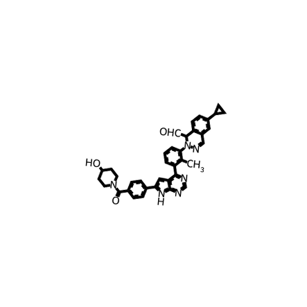 Cc1c(-c2ncnc3[nH]c(-c4ccc(C(=O)N5CCC(O)CC5)cc4)cc23)cccc1N1N=Cc2cc(C3CC3)ccc2C1C=O